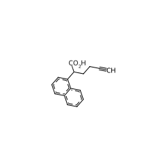 C#CCCC(C(=O)O)c1cccc2ccccc12